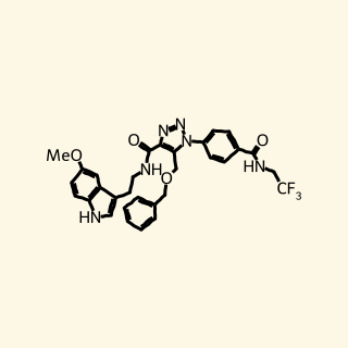 COc1ccc2[nH]cc(CCNC(=O)c3nnn(-c4ccc(C(=O)NCC(F)(F)F)cc4)c3COCc3ccccc3)c2c1